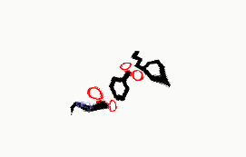 C/C=C/C(=O)OC1CCC(C(=O)OC2(CCCC)CCCCC2)CC1